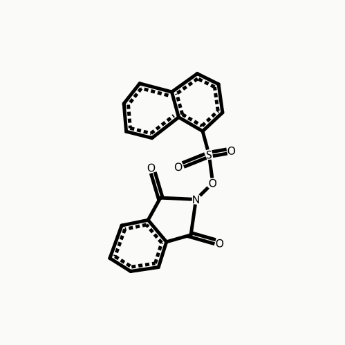 O=C1c2ccccc2C(=O)N1OS(=O)(=O)c1cccc2ccccc12